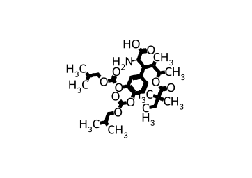 CCC(C)(C)C(=O)OC(C)C(C)C(c1ccc(OC(=O)OCC(C)C)c(OC(=O)OCC(C)C)c1)[C@H](N)C(=O)O